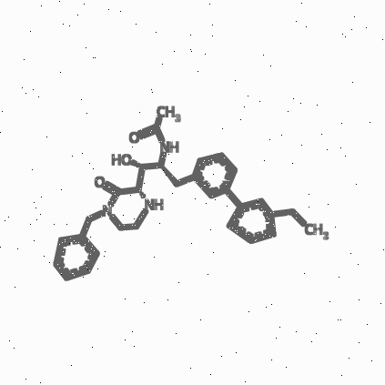 CCc1cccc(-c2cccc(C[C@H](NC(C)=O)[C@H](O)[C@@H]3NCCN(Cc4ccccc4)C3=O)c2)c1